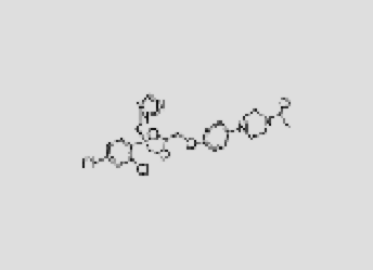 CC(=O)N1CCN(c2ccc(OC[C@H]3OC[C@](Cn4ccnc4)(c4ccc(Cl)cc4Cl)O3)cc2)CC1